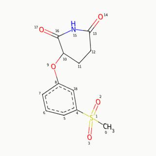 CS(=O)(=O)c1cccc(OC2CCC(=O)NC2=O)c1